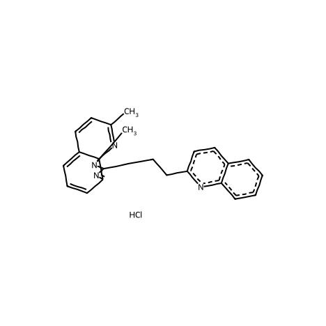 CC1=NC23C(=CC=CC2=NC(CCc2ccc4ccccc4n2)N3C)C=C1.Cl